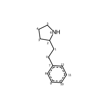 [CH](CC1CCCN1)c1ccccc1